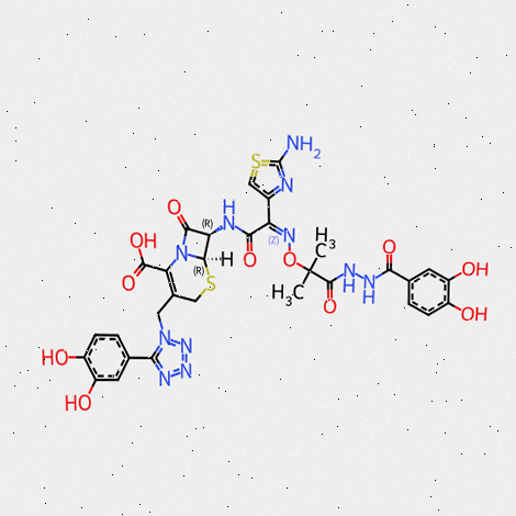 CC(C)(O/N=C(\C(=O)N[C@@H]1C(=O)N2C(C(=O)O)=C(Cn3nnnc3-c3ccc(O)c(O)c3)CS[C@H]12)c1csc(N)n1)C(=O)NNC(=O)c1ccc(O)c(O)c1